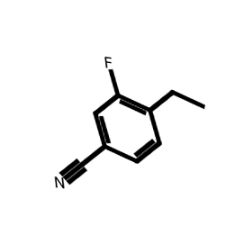 CCc1ccc(C#N)cc1F